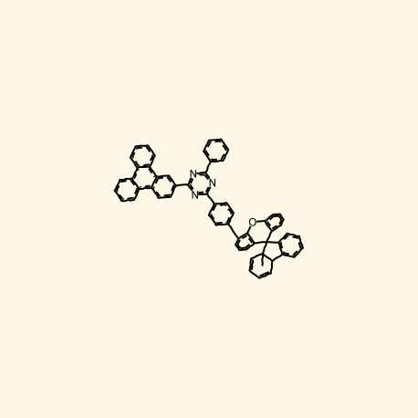 CC12C=CC=CC1c1ccccc1C21c2ccccc2Oc2c(-c3ccc(-c4nc(-c5ccccc5)nc(-c5ccc6c7ccccc7c7ccccc7c6c5)n4)cc3)cccc21